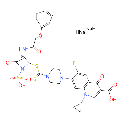 O=C(COc1ccccc1)N[C@H]1C(=O)N(S(=O)(=O)O)C1SC(=S)N1CCN(c2cc3c(cc2F)c(=O)c(C(=O)O)cn3C2CC2)CC1.[NaH].[NaH]